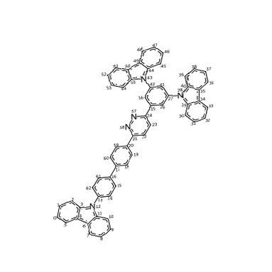 c1ccc2c(c1)c1ccccc1n2-c1ccc(-c2ccc(-c3ccc(-c4cc(-n5c6ccccc6c6ccccc65)cc(-n5c6ccccc6c6ccccc65)c4)nn3)cc2)cc1